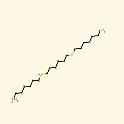 CCCCCCCSCCCCCCSCCCCCCC